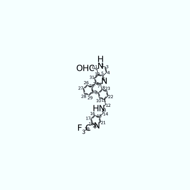 O=CC1NC=Cc2nc(-c3ccc(CNCc4ccc(C(F)(F)F)nc4)cc3)c(-c3ccccc3)cc21